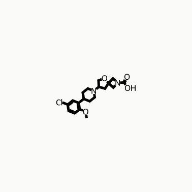 COc1ccc(Cl)cc1C1CCN(C2COC3(C2)CN(C(=O)O)C3)CC1